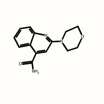 NC(=O)c1cc(N2CCOCC2)nc2ccccc12